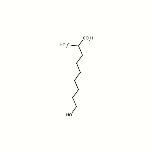 O=C(O)C(CCCCCCCO)C(=O)O